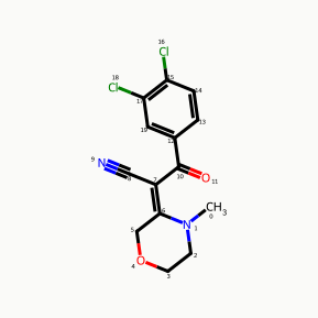 CN1CCOC/C1=C(\C#N)C(=O)c1ccc(Cl)c(Cl)c1